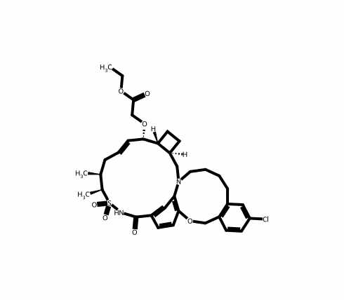 CCOC(=O)CO[C@H]1/C=C/C[C@H](C)[C@H](C)S(=O)(=O)NC(=O)c2ccc3c(c2)N(CCCCc2cc(Cl)ccc2CO3)C[C@@H]2CC[C@H]21